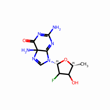 C[C@H]1O[C@@H](N2C=NC3(N)C(=O)N=C(N)N=C23)C(F)C1O